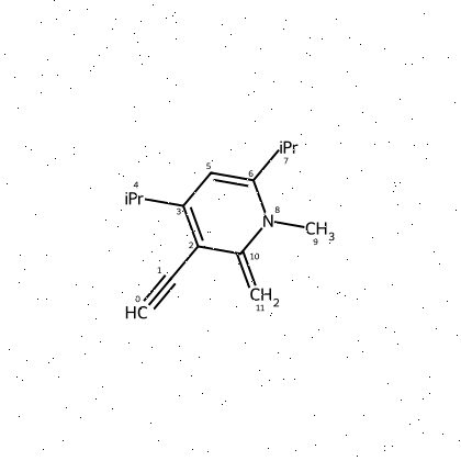 C#CC1=C(C(C)C)C=C(C(C)C)N(C)C1=C